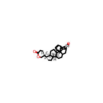 C[C@]12CC[C@H]3[C@@H](CCC4CC5(c6ccccc6)C(C[C@@]43C)[Se]5=O)[C@@H]1CC[C@@H]2[C@H]1CCC(=O)OC1